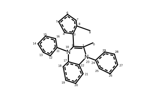 CC1=C(c2ccccc2C)N(c2ccccc2)c2ccccc2N1c1ccccc1